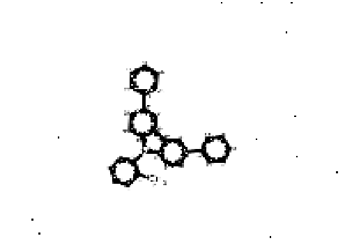 Cc1ccccc1-n1c2ccc(-c3ccccc3)cc2c2cc(-c3ccccc3)ccc21